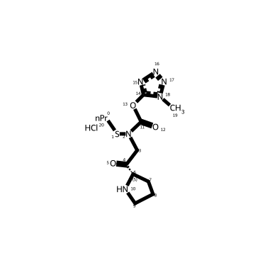 CCCSN(CC(=O)[C@@H]1CCCN1)C(=O)Oc1nnnn1C.Cl